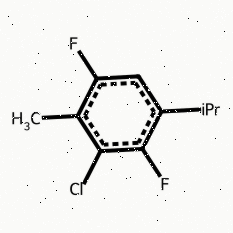 Cc1c(F)cc(C(C)C)c(F)c1Cl